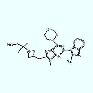 CCc1nc2ccccc2n1-c1nc(N2CCOCC2)c2nc(CC3CN(C(C)(C)CO)C3)n(C)c2n1